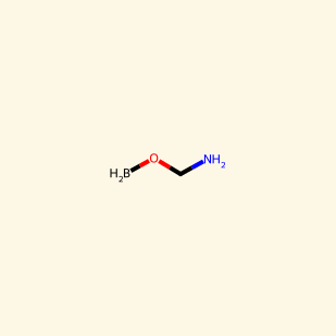 BOCN